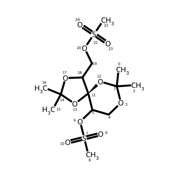 CC1(C)OCC(OS(C)(=O)=O)[C@]2(O1)OC(C)(C)OC2COS(C)(=O)=O